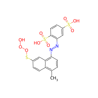 Cc1ccc(N=Nc2cc(S(=O)(=O)O)ccc2S(=O)(=O)O)c2cc(SOOO)ccc12